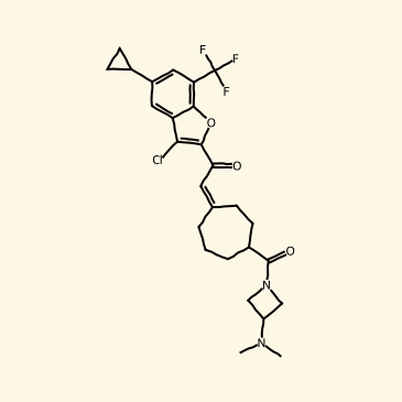 CN(C)C1CN(C(=O)C2CCC/C(=C/C(=O)c3oc4c(C(F)(F)F)cc(C5CC5)cc4c3Cl)CC2)C1